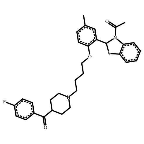 CC(=O)N1c2ccccc2SC1c1cc(C)ccc1OCCCCN1CCC(C(=O)c2ccc(F)cc2)CC1